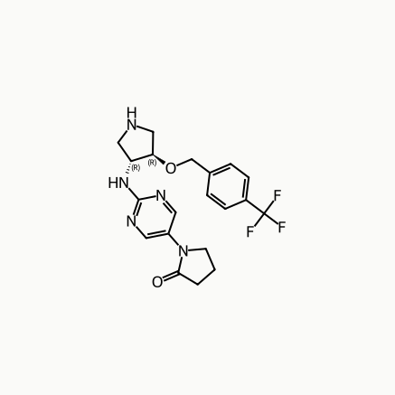 O=C1CCCN1c1cnc(N[C@@H]2CNC[C@H]2OCc2ccc(C(F)(F)F)cc2)nc1